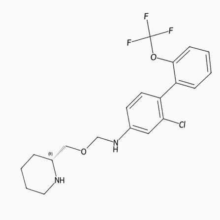 FC(F)(F)Oc1ccccc1-c1ccc(NCOC[C@H]2CCCCN2)cc1Cl